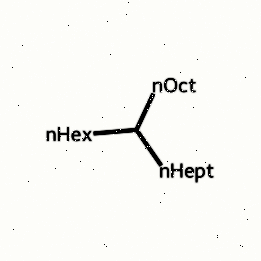 [CH2]CCCCCC(CCCCCCC)CCCCCCCC